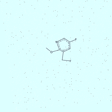 COc1ncc(F)cc1CF